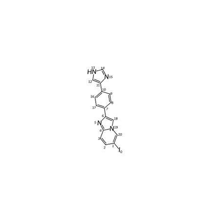 Ic1ccc2nc(-c3ccc(-c4c[nH]cn4)cc3)cn2c1